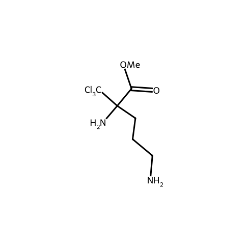 COC(=O)C(N)(CCCN)C(Cl)(Cl)Cl